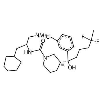 CNCC(CC1CCCCC1)NC(=O)N1CCC[C@@H](C(O)(CCCC(C)(F)F)c2cccc(Cl)c2)C1